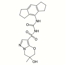 CC1(O)COc2c(S(=O)(=O)NC(=O)Nc3c4c(cc5c3CCC5)CCC4)cnn2C1